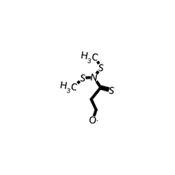 CSN(SC)C(=S)CC[O]